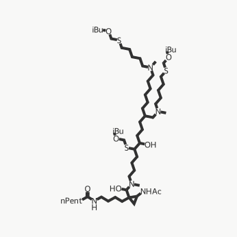 CCCCCC(=O)NCCCCC1(C(O)N(C)CCCCC(SCOC(C)CC)C(O)CCCC(CCCCCCN(C)CCCCCSCOC(C)CC)CN(C)CCCCCSCOC(C)CC)CC1NC(C)=O